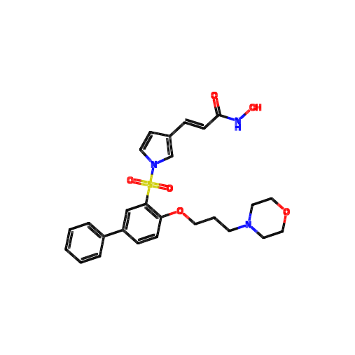 O=C(C=Cc1ccn(S(=O)(=O)c2cc(-c3ccccc3)ccc2OCCCN2CCOCC2)c1)NO